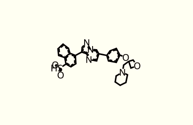 O=[SH](=O)c1ccc(-c2cnn3cc(-c4ccc(OC5(CN6CCCCC6)COC5)cc4)cnc23)c2ccccc12